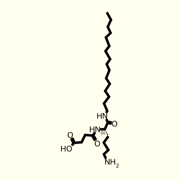 CCCCCCCCCCCCCCCCNC(=O)[C@H](CCCCN)NC(=O)CCC(=O)O